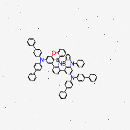 c1ccc(-c2ccc(N(c3ccc(-c4ccccc4)cc3)c3cc4c5c(c3)-c3cccc6c3N(B5c3ccccc3O4)B3c4ccccc4N(c4ccccc4)c4cc(N(c5ccc(-c7ccccc7)cc5)c5ccc(-c7ccccc7)cc5)cc-6c43)cc2)cc1